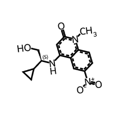 Cn1c(=O)cc(N[C@H](CO)C2CC2)c2cc([N+](=O)[O-])ccc21